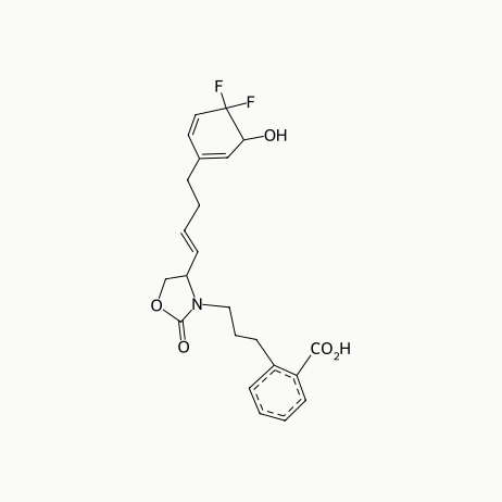 O=C(O)c1ccccc1CCCN1C(=O)OCC1C=CCCC1=CC(O)C(F)(F)C=C1